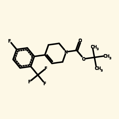 CC(C)(C)OC(=O)N1CC=C(c2cc(F)ccc2C(F)(F)F)CC1